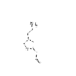 C=CCC1CC(CCN)CO1